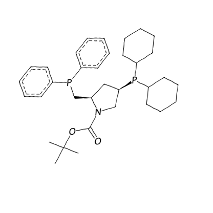 CC(C)(C)OC(=O)N1C[C@H](P(C2CCCCC2)C2CCCCC2)C[C@@H]1CP(c1ccccc1)c1ccccc1